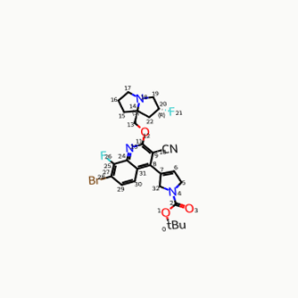 CC(C)(C)OC(=O)N1CC=C(c2c(C#N)c(OC[C@@]34CCCN3C[C@H](F)C4)nc3c(F)c(Br)ccc23)C1